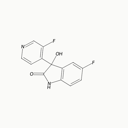 O=C1Nc2ccc(F)cc2C1(O)c1ccncc1F